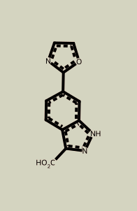 O=C(O)c1n[nH]c2cc(-c3ncco3)ccc12